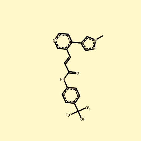 Cn1cc(-c2ccncc2C=CC(=O)Nc2ccc(C(O)(C(F)(F)F)C(F)(F)F)cc2)cn1